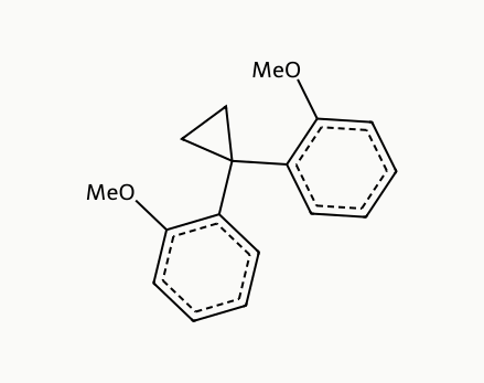 COc1ccccc1C1(c2ccccc2OC)CC1